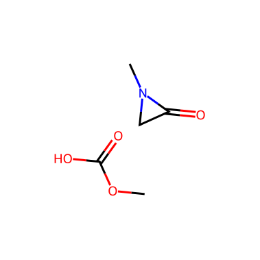 CN1CC1=O.COC(=O)O